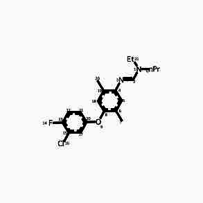 CCCN(/C=N/c1cc(C)c(Oc2ccc(F)c(Cl)c2)cc1C)CC